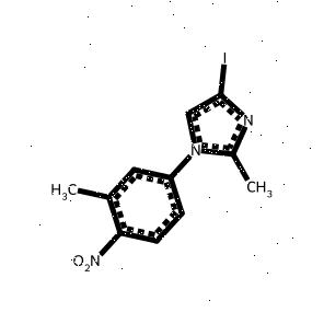 Cc1cc(-n2cc(I)nc2C)ccc1[N+](=O)[O-]